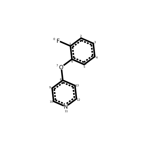 Fc1ccc[c]c1Oc1ccncc1